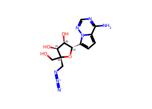 [N-]=[N+]=NC[C@]1(CO)O[C@@H](c2ccc3c(N)ncnn23)[C@H](O)[C@@H]1O